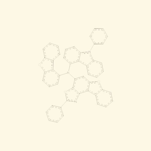 c1ccc(-c2nc3c(o2)c(N(c2cccc4oc5ccccc5c24)c2cccc4c2c2ccccc2n4-c2ccccc2)cc2oc4ccccc4c23)cc1